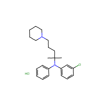 CC(C)(CCCN1CCCCC1)N(c1ccccc1)c1cccc(Cl)c1.Cl